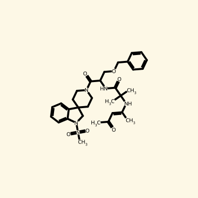 CC(=O)C=C(C)NC(C)(C)C(=O)NC(COCc1ccccc1)C(=O)N1CCC2(CC1)CN(S(C)(=O)=O)c1ccccc12